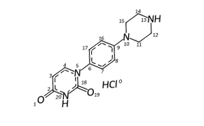 Cl.O=c1ccn(-c2ccc(N3CCNCC3)cc2)c(=O)[nH]1